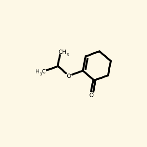 CC(C)OC1=CCCCC1=O